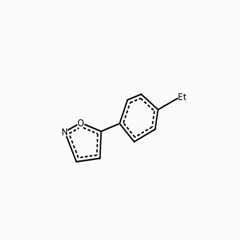 CCc1ccc(-c2ccno2)cc1